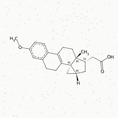 COc1ccc2c(c1)CCC1=C2CC[C@]2(C)[C@H](CC(=O)O)C[C@@H]3C[C@@]132